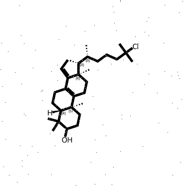 C[C@H](CCCC(C)(C)Cl)[C@H]1CC=C2C3=C(CC[C@@]21C)[C@@]1(C)CCC(O)C(C)(C)[C@@H]1CC3